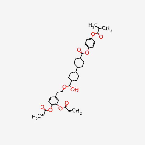 C=CC(=O)Oc1ccc(CCOC(O)C2CCC(C3CCC(C(=O)Oc4ccc(OC(=O)C(=C)C)cc4)CC3)CC2)cc1OC(=O)C=C